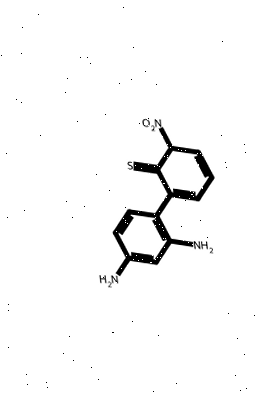 Nc1ccc(C2=CC=CC([N+](=O)[O-])C2=S)c(N)c1